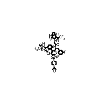 Cn1nc(NS(C)(=O)=O)c2cccc(-c3cc4sc(N5CCN(C6COC6)CC5)nc4nc3[C@H](Cc3cc(F)cc(F)c3)NC(=O)Cn3nc(C(F)(F)F)c4c3C(F)(F)[C@@H]3CC[C@H]43)c21